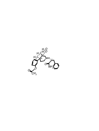 CC(=O)Oc1cccc([C@]2(C)CCN(C[C@H](Cc3ccccc3)C(N)=O)C[C@@H]2C)c1.O.O